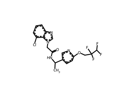 CC(NC(=O)Cn1cnc2cccc(Cl)c21)c1ccc(OCC(F)(F)C(F)F)nc1